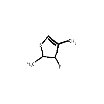 CC1=CSC(C)C1F